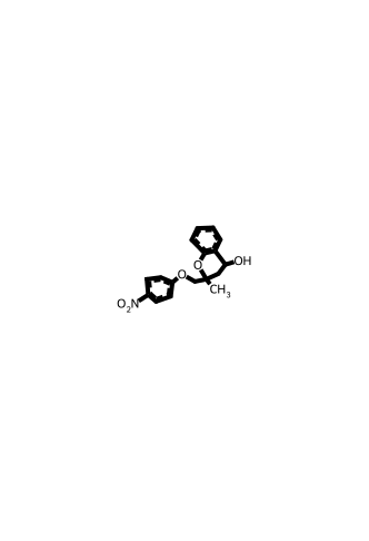 CC1(COc2ccc([N+](=O)[O-])cc2)CC(O)c2ccccc2O1